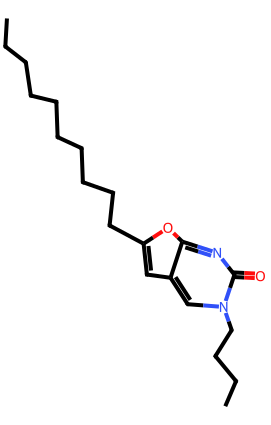 CCCCCCCCCCc1cc2cn(CCCC)c(=O)nc2o1